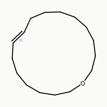 C1=C/CCCCCCOCCCCCCCC/1